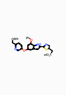 COCc1ccc(Oc2cc(OC(C)C)c3[nH]c(C4=NCC(CC(=O)O)S4)cc3c2)cn1